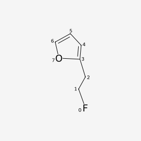 FCCc1ccco1